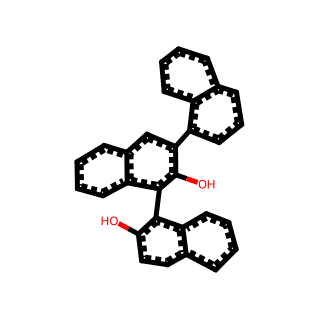 Oc1ccc2ccccc2c1-c1c(O)c(-c2cccc3ccccc23)cc2ccccc12